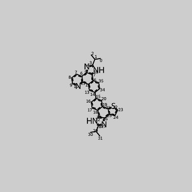 CC(C)c1nc2c3cccnc3c3cc(-c4ccc5c(c4)c4sccc4c4nc(C(C)C)[nH]c54)ccc3c2[nH]1